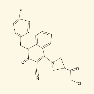 N#Cc1c(N2CC(C(=O)CCl)C2)c2ccccc2n(Cc2ccc(F)cc2)c1=O